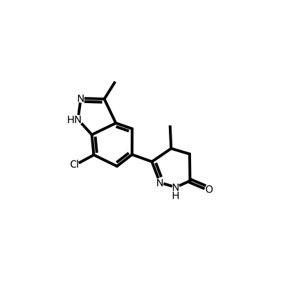 Cc1n[nH]c2c(Cl)cc(C3=NNC(=O)CC3C)cc12